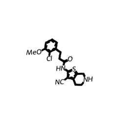 COc1cccc(CCC(=O)Nc2sc3c(c2C#N)CCNC3)c1Cl